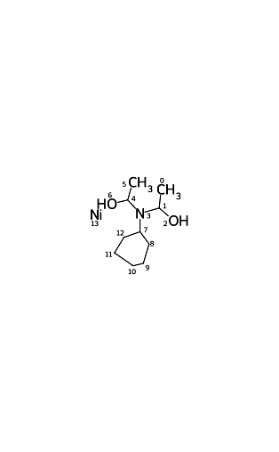 CC(O)N(C(C)O)C1CCCCC1.[Ni]